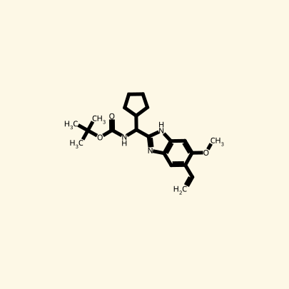 C=Cc1cc2nc(C(NC(=O)OC(C)(C)C)C3CCCC3)[nH]c2cc1OC